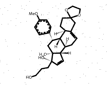 COc1ccc([C@H]2C[C@@]3(C)[C@@H](C=C[C@@]3(O)CCCO)[C@@H]3CC=C4CC5(CC[C@@H]4[C@H]32)OCCO5)cc1